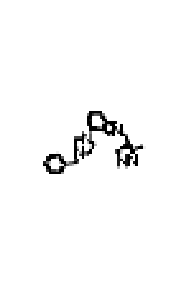 Cc1c(Cn2cc3cccc(N4CCN(Cc5ccccc5)CC4)c3c2)cnn1C